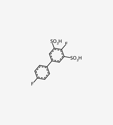 O=S(=O)(O)c1cc(-c2ccc(F)cc2)cc(S(=O)(=O)O)c1F